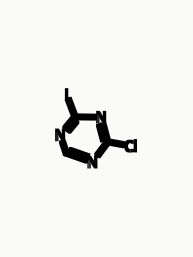 Clc1ncnc(I)n1